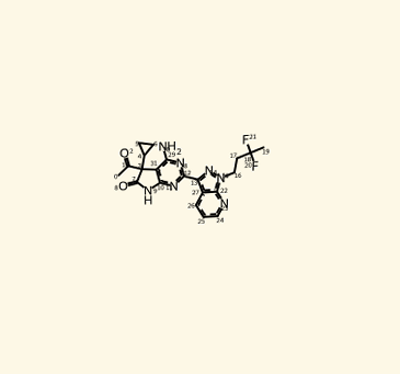 CC(=O)C1(C2CC2)C(=O)Nc2nc(-c3nn(CCC(C)(F)F)c4ncccc34)nc(N)c21